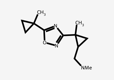 CNCC1CC1(C)c1noc(C2(C)CC2)n1